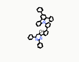 C=C1CC(c2ccccc2)=NC(c2ccccc2)=NC1c1cccc(-c2cccc(-n3c4ccccc4c4cc(-c5ccccc5)cc(-c5ccccc5)c43)c2)c1